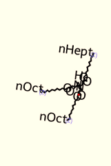 CCCCCCC/C=C\CCCCCCCCOC(=O)CCN(CCC(=O)OCCCCCCCC/C=C\CCCCCCCC)NCCC(=O)OCCCCCCCC/C=C\CCCCCCCC